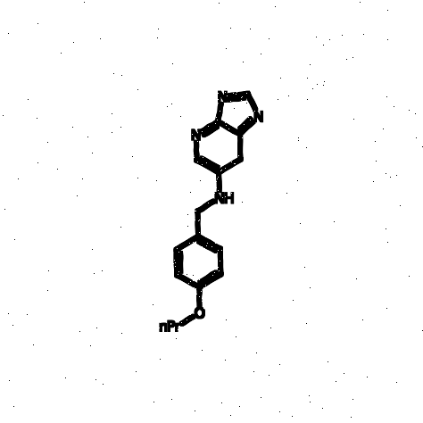 CCCOc1ccc(CNC2=CN=C3N=CN=C3C2)cc1